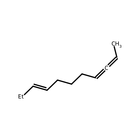 CC=C=CCCCC=CCC